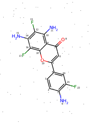 Nc1ccc(-c2cc(=O)c3c(N)c(F)c(N)c(F)c3o2)cc1F